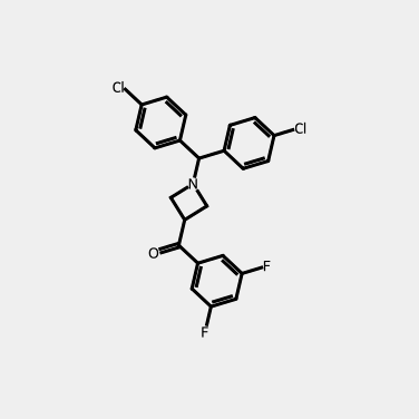 O=C(c1cc(F)cc(F)c1)C1CN(C(c2ccc(Cl)cc2)c2ccc(Cl)cc2)C1